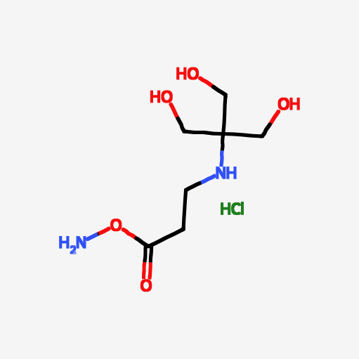 Cl.NOC(=O)CCNC(CO)(CO)CO